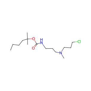 CCCCC(C)(C)OC(=O)NCCCN(C)CCCCl